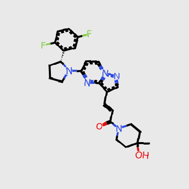 CC1(O)CCN(C(=O)C=Cc2cnn3ccc(N4CCC[C@@H]4c4cc(F)ccc4F)nc23)CC1